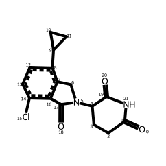 O=C1CCC(N2Cc3c(C4CC4)ccc(Cl)c3C2=O)C(=O)N1